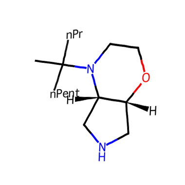 CCCCCC(C)(CCC)N1CCO[C@@H]2CNC[C@@H]21